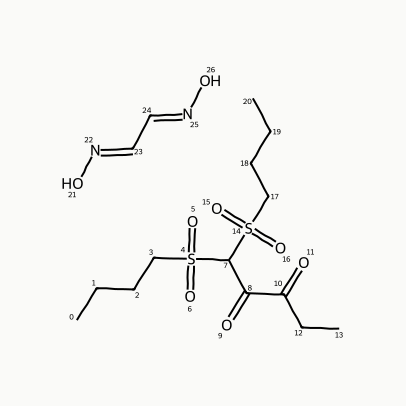 CCCCS(=O)(=O)C(C(=O)C(=O)CC)S(=O)(=O)CCCC.ON=CC=NO